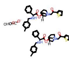 Cc1ccc(CNC(C(=O)O[C@H]2C[N+]3(CC(=O)c4cccs4)CCC2CC3)c2ccccc2)cc1.Cc1ccc(CNC(C(=O)O[C@H]2C[N+]3(CC(=O)c4cccs4)CCC2CC3)c2ccccc2)cc1.O=C[O-].O=C[O-]